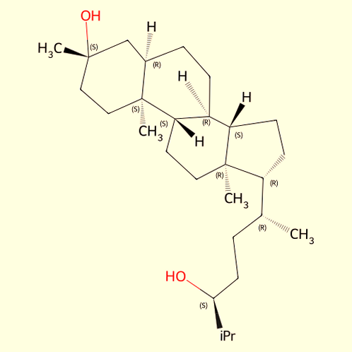 CC(C)[C@@H](O)CC[C@@H](C)[C@H]1CC[C@H]2[C@@H]3CC[C@@H]4C[C@@](C)(O)CC[C@]4(C)[C@H]3CC[C@]12C